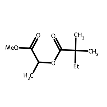 CCC(C)(C)C(=O)OC(C)C(=O)OC